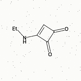 CCNc1cc(=O)c1=O